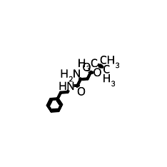 CC(C)(C)OC(=O)CC(N)C(=O)NCCc1ccccc1